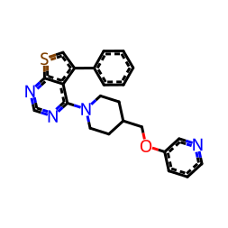 c1ccc(-c2csc3ncnc(N4CCC(COc5cccnc5)CC4)c23)cc1